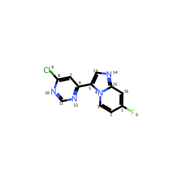 Fc1ccn2c(-c3cc(Cl)ncn3)cnc2c1